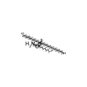 CCCCCCCCC(=O)OCCN.CCCCCCCCCCCCCCCCC(I)CCCCCCCCCCCC